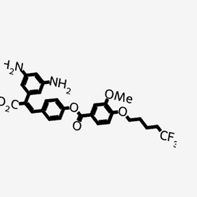 CCOC(=O)C(=Cc1ccc(OC(=O)c2ccc(OCCCCC(F)(F)F)c(OC)c2)cc1)c1cc(N)cc(N)c1